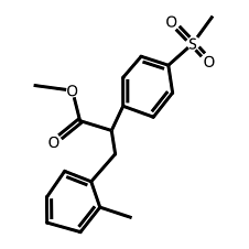 COC(=O)C(Cc1ccccc1C)c1ccc(S(C)(=O)=O)cc1